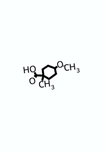 COC1CCC(C)(C(=O)O)CC1